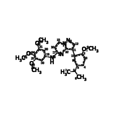 COc1ccc(C(C)C)cc1-c1cnn2ccc(Nc3cc(OC)c(OC)c(OC)c3)nc12